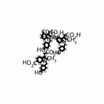 Cc1c(CC(=O)O)c2c(C(=O)O)cccc2n1Cc1ccc(O)cc1.Cc1c(CC(=O)O)c2cc(C(=O)O)ccc2n1Cc1ccc(O)cc1.Cc1c(CC(=O)O)c2ccc(C(=O)O)cc2n1Cc1ccc(O)cc1